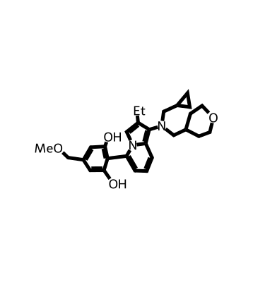 CCc1cn2c(-c3c(O)cc(COC)cc3O)cccc2c1N(CC1CCOCC1)CC1CC1